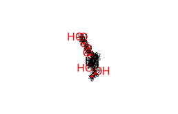 CC(C)(C)CC(C)(C)[C@H](O)CC[C@@H]1[C@H]2Cc3cccc(OCC(=O)OCCOCCC(=O)O)c3C[C@H]2C[C@H]1O